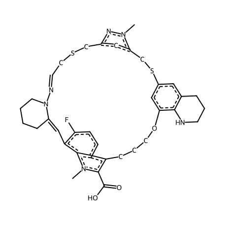 Cn1nc2cc1CSc1cc3c(c(c1)OCCCc1c(C(=O)O)n(C)c4c(c(F)ccc14)/C=C1\CCCCN1/N=C/CSC2)NCCC3